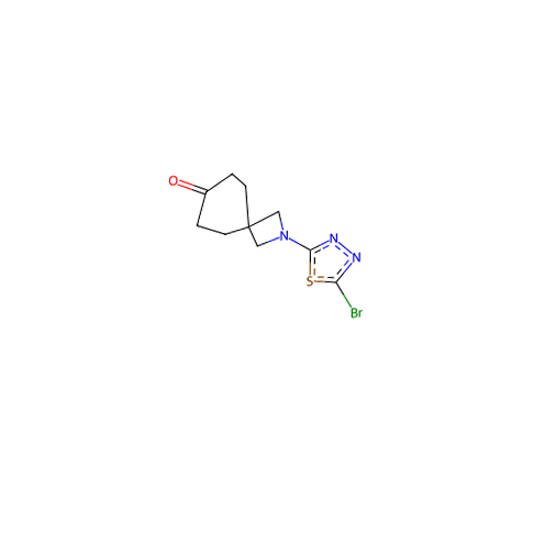 O=C1CCC2(CC1)CN(c1nnc(Br)s1)C2